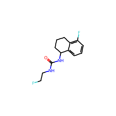 O=C(NCCF)NC1CCCc2c(F)cccc21